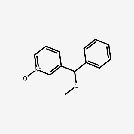 COC(c1ccccc1)c1ccc[n+]([O-])c1